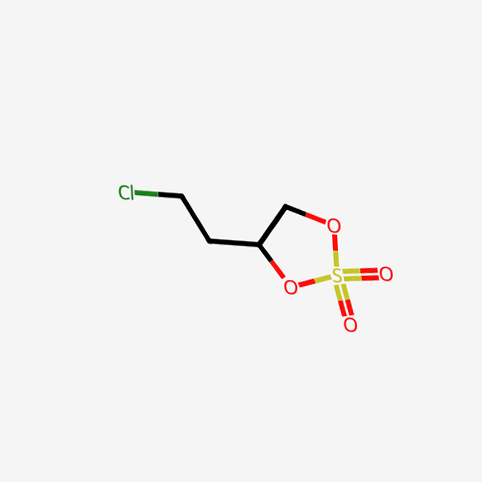 O=S1(=O)OCC(CCCl)O1